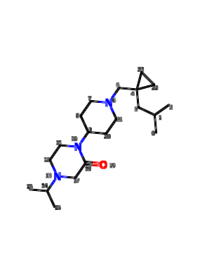 CC(C)CC1(CN2CCC(N3CCN(C(C)C)CC3=O)CC2)CC1